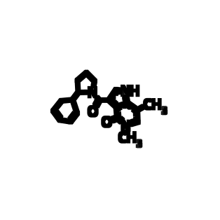 Cc1cn(C)c(=O)c2c(C(=O)N3CCCC3C3C=CC=CC3)c[nH]c12